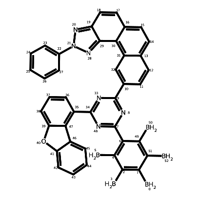 Bc1c(B)c(B)c(-c2nc(-c3ccc4ccc5ccc6nn(-c7ccccc7)nc6c5c4c3)nc(-c3cccc4oc5ccccc5c34)n2)c(B)c1B